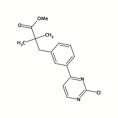 COC(=O)C(C)(C)Cc1cccc(-c2ccnc(Cl)n2)c1